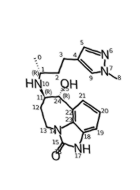 C[C@H](CCc1cnn(C)c1)N[C@@H]1CCn2c(=O)[nH]c3cccc(c32)[C@H]1O